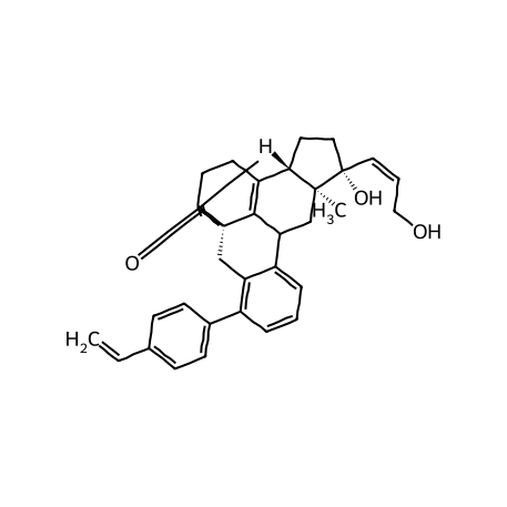 C=Cc1ccc(-c2cccc3c2C[C@]24CCC(=O)C=C2CCC2=C4C3C[C@@]3(C)[C@H]2CC[C@@]3(O)/C=C\CO)cc1